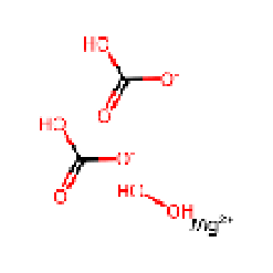 O=C([O-])O.O=C([O-])O.OO.[Mg+2]